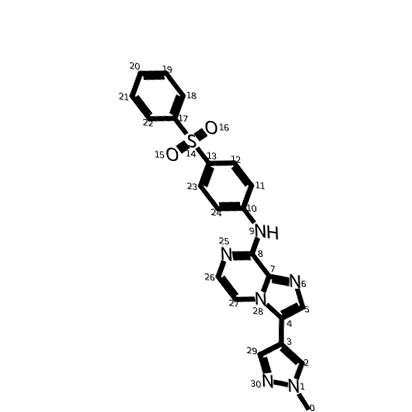 Cn1cc(-c2cnc3c(Nc4ccc(S(=O)(=O)c5ccccc5)cc4)nccn23)cn1